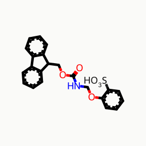 O=C(NCOc1ccccc1S(=O)(=O)O)OCC1c2ccccc2-c2ccccc21